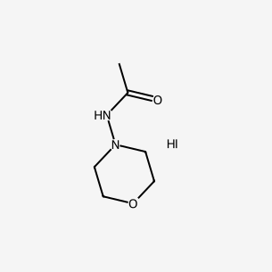 CC(=O)NN1CCOCC1.I